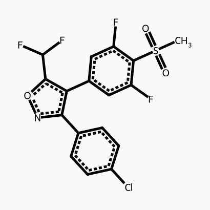 CS(=O)(=O)c1c(F)cc(-c2c(-c3ccc(Cl)cc3)noc2C(F)F)cc1F